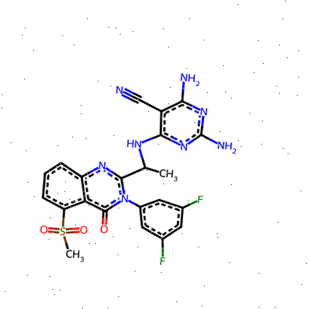 CC(Nc1nc(N)nc(N)c1C#N)c1nc2cccc(S(C)(=O)=O)c2c(=O)n1-c1cc(F)cc(F)c1